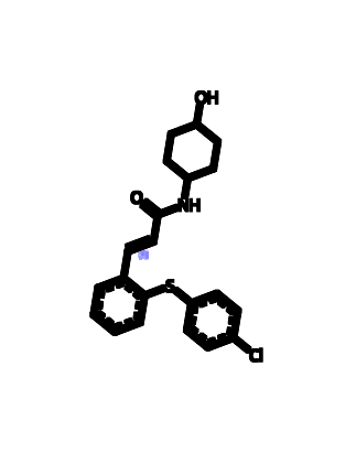 O=C(/C=C/c1ccccc1Sc1ccc(Cl)cc1)NC1CCC(O)CC1